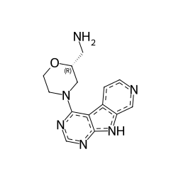 NC[C@@H]1CN(c2ncnc3[nH]c4cnccc4c23)CCO1